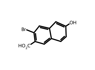 O=C(O)c1cc2ccc(O)cc2cc1Br